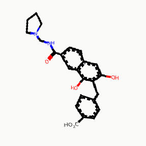 O=C(O)c1ccc(Cc2c(O)cc3ccc(C(=O)NCN4CCCC4)cc3c2O)cc1